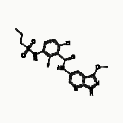 CCCS(=O)(=O)Nc1ccc(Cl)c(C(=O)Nc2cnc3[nH]nc(OC)c3c2)c1F